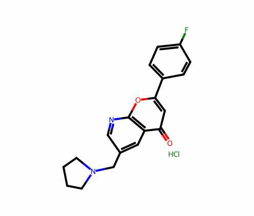 Cl.O=c1cc(-c2ccc(F)cc2)oc2ncc(CN3CCCC3)cc12